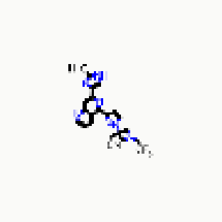 Cc1nc(-c2cc3ncccc3c(-c3ccn(C4(CC#N)CN(CC(F)(F)F)C4)n3)n2)c[nH]1